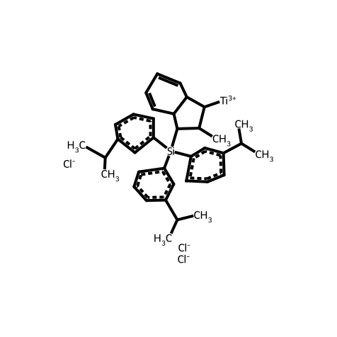 CC(C)c1cccc([Si](c2cccc(C(C)C)c2)(c2cccc(C(C)C)c2)C2C(C)[CH]([Ti+3])C3C=CC=CC32)c1.[Cl-].[Cl-].[Cl-]